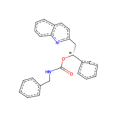 O=C(NCc1ccccc1)O[C@H](Cc1ccc2ccccc2n1)c1ccccc1